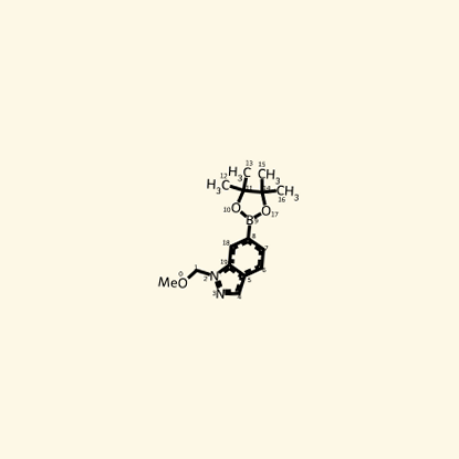 COCn1ncc2ccc(B3OC(C)(C)C(C)(C)O3)cc21